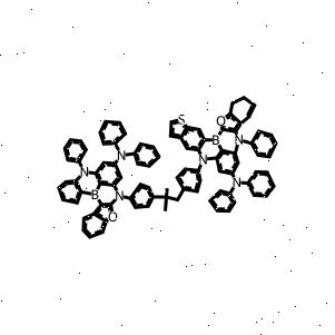 CC(C)(Cc1ccc(N2c3cc4ccsc4cc3B3c4oc5c(c4N(c4ccccc4)c4cc(N(c6ccccc6)c6ccccc6)cc2c43)C=CCC5)cc1)c1ccc(N2c3cc(N(c4ccccc4)c4ccccc4)cc4c3B(c3ccccc3N4c3ccccc3)c3c2oc2ccccc32)cc1